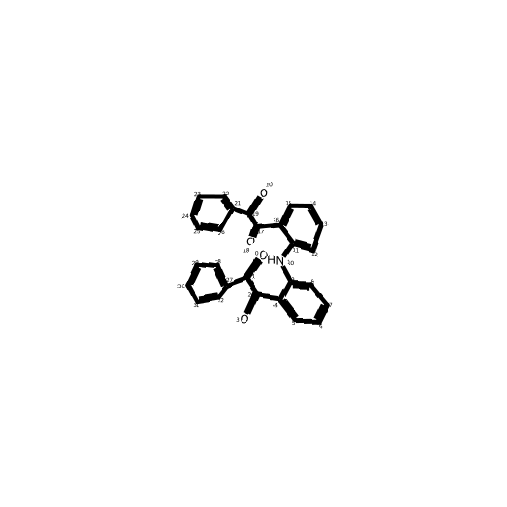 O=C(C(=O)c1ccccc1Nc1ccccc1C(=O)C(=O)c1ccccc1)c1ccccc1